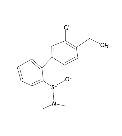 CN(C)[S+]([O-])c1ccccc1-c1ccc(CO)c(Cl)c1